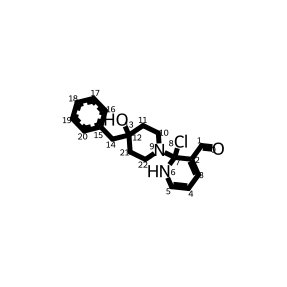 O=CC1=CC=CNC1(Cl)N1CCC(O)(Cc2ccccc2)CC1